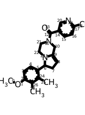 COc1ccc(C2CC=C3CN(C(=O)c4ccc(Cl)nc4)CCN32)c(C)c1C